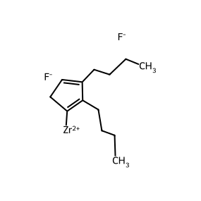 CCCCC1=CC[C]([Zr+2])=C1CCCC.[F-].[F-]